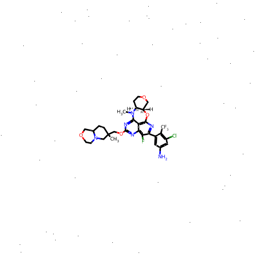 CN1c2nc(OCC3(C)CCC4COCCN4C3)nc3c(F)c(-c4cc(N)cc(Cl)c4C(F)(F)F)nc(c23)O[C@H]2COCC[C@@H]21